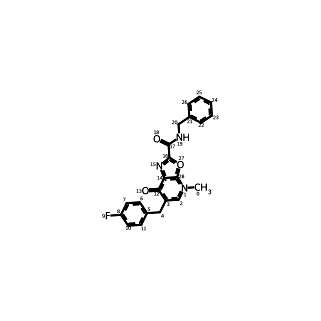 Cn1cc(Cc2ccc(F)cc2)c(=O)c2nc(C(=O)NCc3ccccc3)oc21